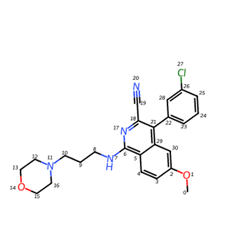 COc1ccc2c(NCCCN3CCOCC3)nc(C#N)c(-c3cccc(Cl)c3)c2c1